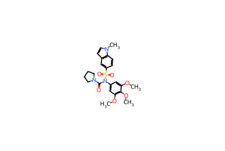 COc1cc(N(C(=O)N2CCCC2)S(=O)(=O)c2ccc3c(ccn3C)c2)cc(OC)c1OC